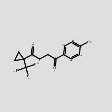 O=C(CCC(=O)C1(C(F)(F)F)CC1)c1ccc(Cl)cc1